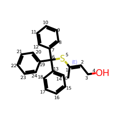 C/C(=C\CO)SC(c1ccccc1)(c1ccccc1)c1ccccc1